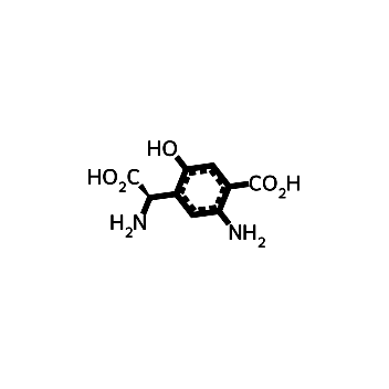 Nc1cc([C@@H](N)C(=O)O)c(O)cc1C(=O)O